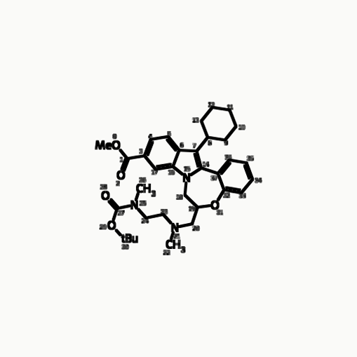 COC(=O)c1ccc2c(C3CCCCC3)c3n(c2c1)CC(CN(C)CCN(C)C(=O)OC(C)(C)C)Oc1ccccc1-3